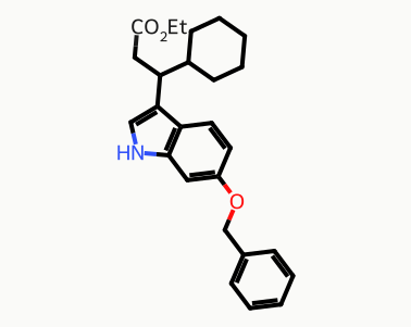 CCOC(=O)CC(c1c[nH]c2cc(OCc3ccccc3)ccc12)C1CCCCC1